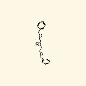 [P].c1ccc(COCCOCCOCc2ccccc2)cc1